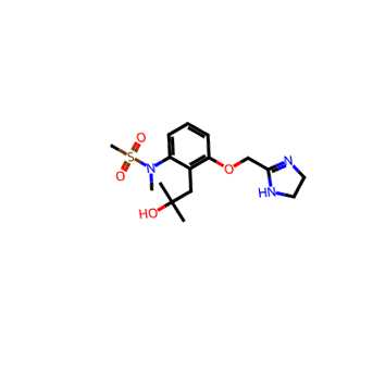 CN(c1cccc(OCC2=NCCN2)c1CC(C)(C)O)S(C)(=O)=O